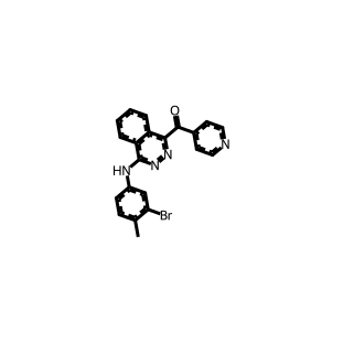 Cc1ccc(Nc2nnc(C(=O)c3ccncc3)c3ccccc23)cc1Br